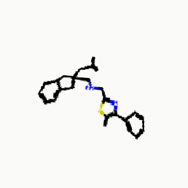 C=C(C)CC1(CNCc2nc(-c3ccccc3)c(C)s2)Cc2ccccc2C1